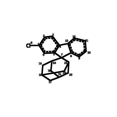 Clc1ccc2c(c1)C1(c3ccccc3-2)C2CC3CC(C2)CC1C3